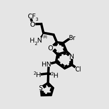 [2H]C([2H])(Nc1cc(Cl)nc2c(Br)c(C[C@@H](N)COC(F)(F)F)oc12)c1cccs1